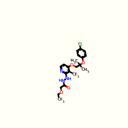 CC(C)(COc1ccnc(NNC(=O)COCC(F)(F)F)c1C(F)(F)F)Oc1ccc(Cl)cc1